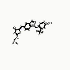 CCSC1=NC(=O)/C(=C/c2ccc3c(cnn3Cc3ccc(O)cc3C(F)(F)F)c2)S1